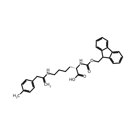 C=C(Cc1ccc(C)cc1)NCCCC[C@H](NC(=O)OCC1c2ccccc2-c2ccccc21)C(=O)O